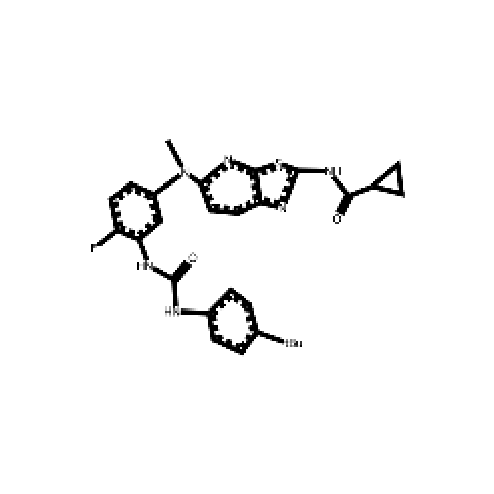 CN(c1ccc(F)c(NC(=O)Nc2ccc(C(C)(C)C)cc2)c1)c1ccc2nc(NC(=O)C3CC3)sc2n1